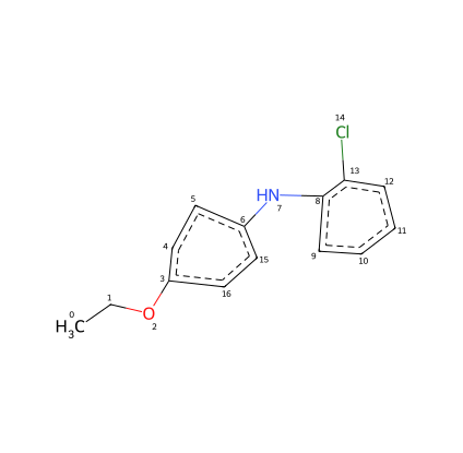 CCOc1ccc(Nc2ccccc2Cl)cc1